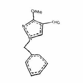 COc1nn(Cc2ccccc2)cc1C=O